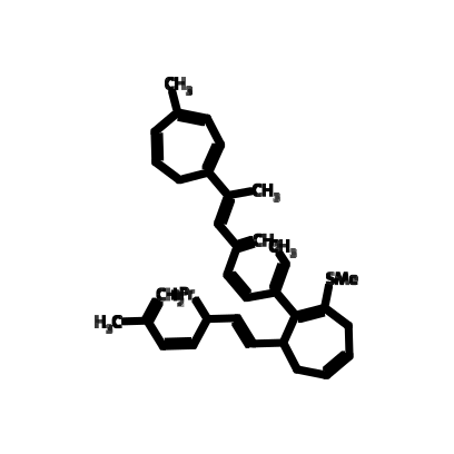 C=C(C)/C=C\C(/C=C/C1CC=CCC(SC)=C1C(/C=C\C(=C)/C=C(\C)C1=CC=C(C)C=CC1)=C/C)CCC